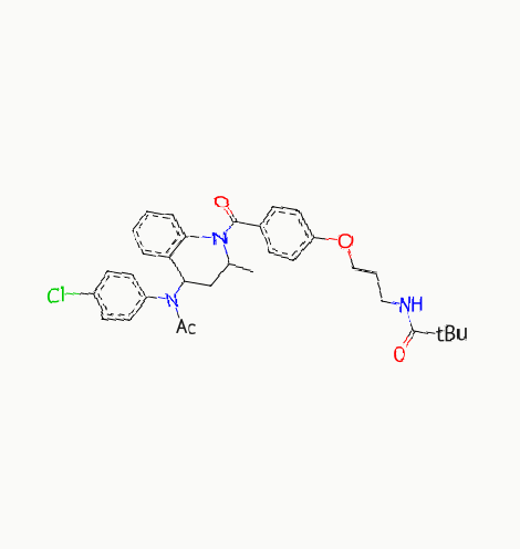 CC(=O)N(c1ccc(Cl)cc1)C1CC(C)N(C(=O)c2ccc(OCCCNC(=O)C(C)(C)C)cc2)c2ccccc21